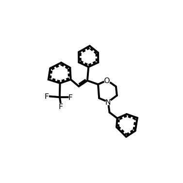 FC(F)(F)c1ccccc1C=C(c1ccccc1)C1CN(Cc2ccccc2)CCO1